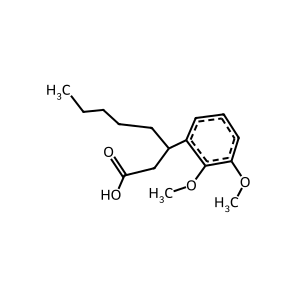 CCCCCC(CC(=O)O)c1cccc(OC)c1OC